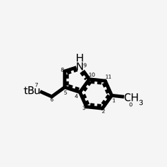 Cc1ccc2c(CC(C)(C)C)c[nH]c2c1